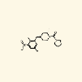 Cc1c(CN2CCN(C(=O)N3CCCC3)[C@@H](C)C2)cc(F)cc1[N+](=O)[O-]